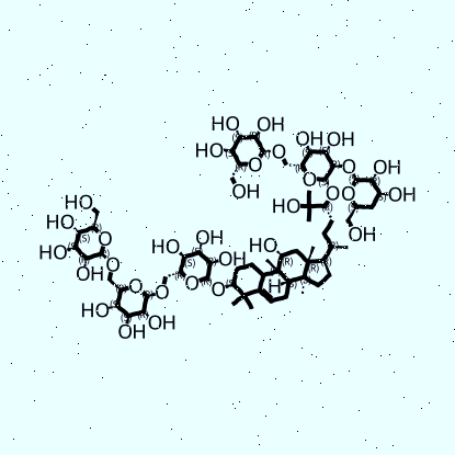 C[C@H](CC[C@@H](O[C@@H]1O[C@H](CO[C@@H]2O[C@H](CO)[C@@H](O)[C@H](O)[C@H]2O)[C@@H](O)[C@H](O)[C@H]1O[C@@H]1O[C@H](CO)C[C@H](O)[C@H]1O)C(C)(C)O)[C@H]1CC[C@@]2(C)[C@@H]3CC=C4C(CC[C@H](O[C@@H]5O[C@H](CO[C@@H]6O[C@H](CO[C@@H]7O[C@H](CO)[C@@H](O)[C@H](O)[C@H]7O)[C@@H](O)[C@H](O)[C@H]6O)[C@@H](O)[C@H](O)[C@H]5O)C4(C)C)[C@]3(C)[C@H](O)C[C@]12C